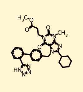 COC(=O)CCn1c(=O)c2c(nc(C3CCCCC3)n2Cc2ccc(-c3ccccc3-c3nnn[nH]3)cc2)n(C)c1=O